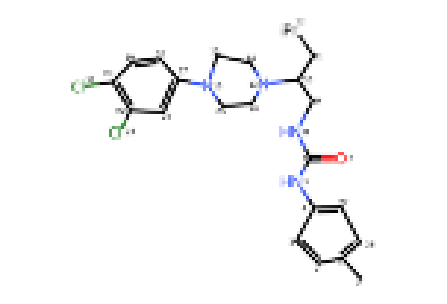 Cc1ccc(NC(=O)NCC(CC(C)C)N2CCN(c3ccc(Cl)c(Cl)c3)CC2)cc1